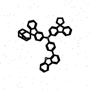 c1ccc2c(c1)-c1cc(N(c3ccc(-c4cccc5c4oc4ccccc45)cc3)c3ccc4c(c3)-c3ccccc3C43C4CC5CC(C4)CC3C5)ccc1C21CCCC1